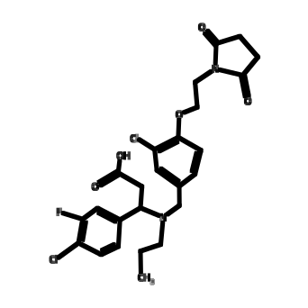 CCCN(Cc1ccc(OCCN2C(=O)CCC2=O)c(Cl)c1)C(CC(=O)O)c1ccc(Cl)c(F)c1